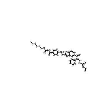 CCCCCCOC(=O)NC(=O)c1ccc(NCc2nc3cc(C(=O)N(CCC(=O)OCC)c4ccccn4)ccc3[nH]2)cc1